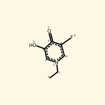 CCn1cc(O)c(=O)c(F)c1